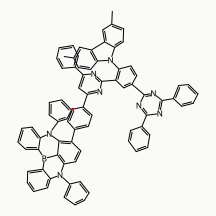 Cc1ccc2c(c1)c1cc(C)ccc1n2-c1ccc(-c2nc(-c3ccccc3)nc(-c3ccccc3)n2)cc1-c1nc(-c2ccccc2)cc(-c2ccc(-c3ccc4c5c3N(c3ccccc3)c3ccccc3B5c3ccccc3N4c3ccccc3)cc2)n1